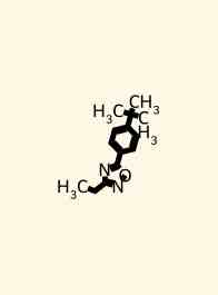 CCc1noc(-c2ccc(C(C)(C)C)cc2)n1